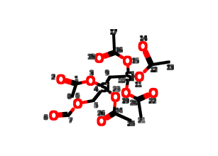 CC(=O)O[Si](COC=O)(C[Si](OC(C)=O)(OC(C)=O)OC(C)=O)OC(C)=O